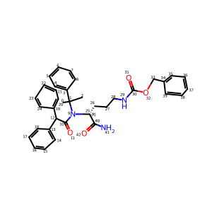 CC(C)(c1ccccc1)N(C(=O)C(c1ccccc1)c1ccccc1)[C@H](CCCNC(=O)OCc1ccccc1)C(N)=O